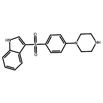 O=S(=O)(c1ccc(N2CCNCC2)cc1)c1c[nH]c2ccccc12